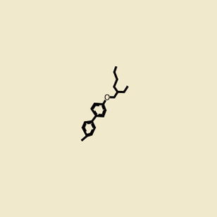 CCCCC(CC)COc1ccc(-c2ccc(C)cc2)cc1